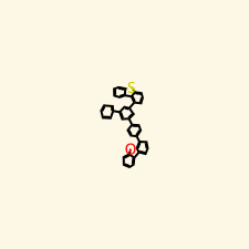 c1ccc(-c2cc(-c3ccc(-c4cccc5c4oc4ccccc45)cc3)cc(-c3cccc4sc5ccccc5c34)c2)cc1